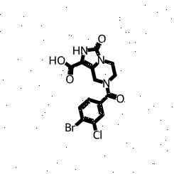 O=C(O)c1[nH]c(=O)n2c1CN(C(=O)c1ccc(Br)c(Cl)c1)CC2